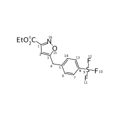 CCOC(=O)c1cc(Cc2ccc(S(F)(F)F)cc2)on1